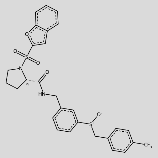 O=C(NCc1cccc([S+]([O-])Cc2ccc(C(F)(F)F)cc2)c1)[C@@H]1CCCN1S(=O)(=O)c1cc2ccccc2o1